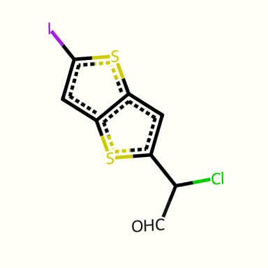 O=CC(Cl)c1cc2sc(I)cc2s1